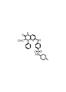 CN1CCC(NS(=O)(=O)c2ccc(Nc3ccc4c(n3)N(c3ccccc3)C(C=O)C(=O)N4C)cc2)CC1